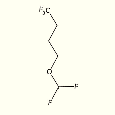 F[C](F)OCCCC(F)(F)F